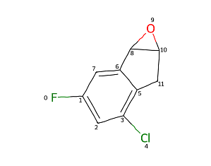 Fc1cc(Cl)c2c(c1)C1OC1C2